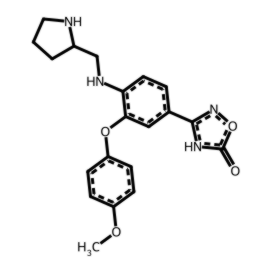 COc1ccc(Oc2cc(-c3noc(=O)[nH]3)ccc2NCC2CCCN2)cc1